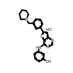 Cl.Oc1cccc(Nc2ncnc3cc(-c4cccc(CN5CCCCC5)c4)sc23)c1